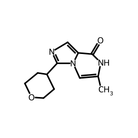 Cc1cn2c(C3CCOCC3)ncc2c(=O)[nH]1